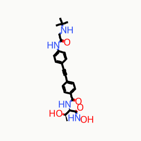 C[C@@H](O)[C@H](NC(=O)c1ccc(C#Cc2ccc(NC(=O)CNC(C)(C)C)cc2)cc1)C(=O)NO